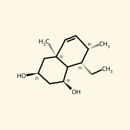 CC[C@@H]1C2[C@@H](O)C[C@@H](O)C[C@@]2(C)C=C[C@@H]1C